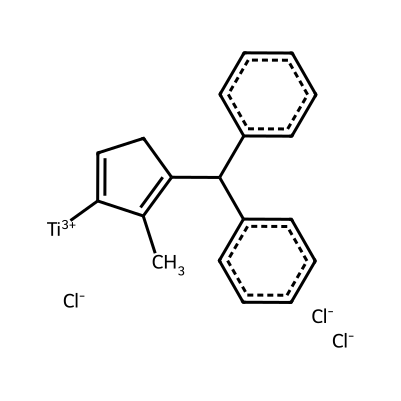 CC1=C(C(c2ccccc2)c2ccccc2)CC=[C]1[Ti+3].[Cl-].[Cl-].[Cl-]